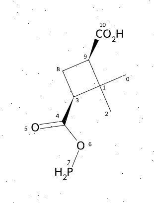 CC1(C)[C@@H](C(=O)OP)C[C@H]1C(=O)O